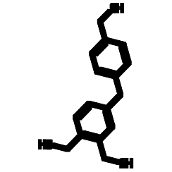 SCc1ccc(Cc2ccc(CS)c(CS)c2)cc1